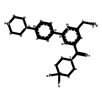 NCc1cc(C(=O)N2CCC(F)(F)CC2)nc(-c2ccc(N3CCOCC3)cc2)n1